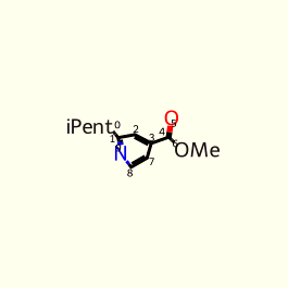 CCCC(C)c1cc(C(=O)OC)ccn1